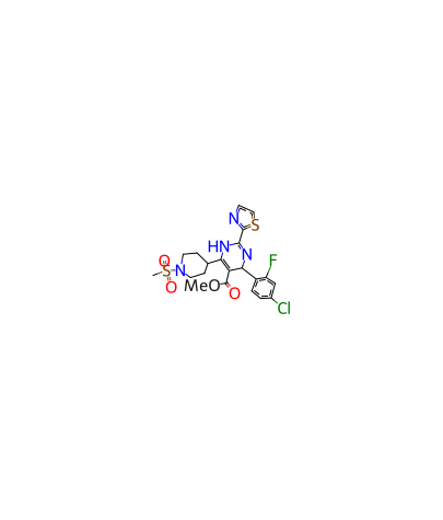 COC(=O)C1=C(C2CCN(S(C)(=O)=O)CC2)NC(c2nccs2)=NC1c1ccc(Cl)cc1F